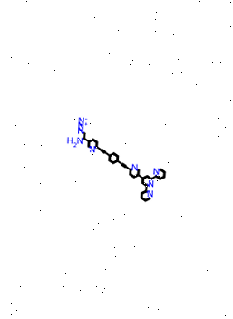 [N-]=[N+]=NCC(N)c1ccc(C#Cc2ccc(C#Cc3ccc(-c4cc(-c5ccccn5)nc(-c5ccccn5)c4)cn3)cc2)nc1